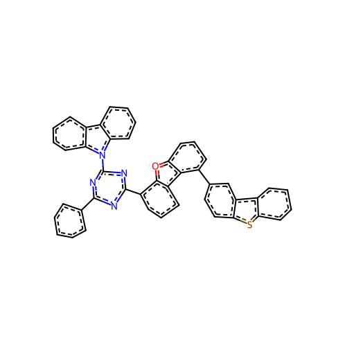 c1ccc(-c2nc(-c3cccc4c3oc3cccc(-c5ccc6sc7ccccc7c6c5)c34)nc(-n3c4ccccc4c4ccccc43)n2)cc1